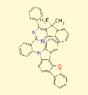 CC1(C)c2ccccc2-c2nc(-c3ccccc3-n3c4ccccc4c4c5oc6ccccc6c5ccc43)nc(-c3ccccc3)c21